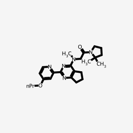 CCCOc1ccnc(-c2nc3c(c(N(C)CC(=O)N4CCCC4(C)C)n2)CCC3)c1